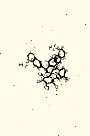 CN1CCCc2cc(/C(=C/C3(/C=C(\c4ccc(Br)cc4)c4ccc5c(c4)CCCN5C)OC(=O)c4c(Cl)c(Cl)c(Cl)c(Cl)c43)c3ccc(Br)cc3)ccc21